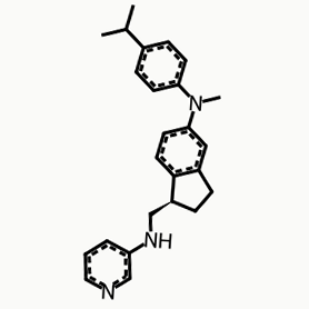 CC(C)c1ccc(N(C)c2ccc3c(c2)CC[C@H]3CNc2cccnc2)cc1